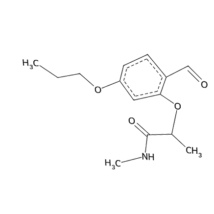 CCCOc1ccc(C=O)c(OC(C)C(=O)NC)c1